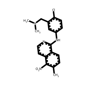 Cc1ccc2c(Nc3ccc(Cl)c(CN(C)C)c3)nccc2c1[N+](=O)[O-]